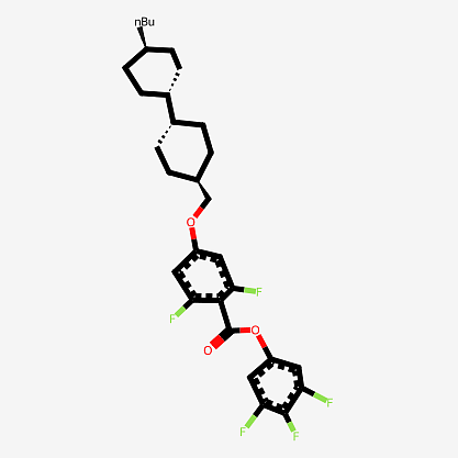 CCCC[C@H]1CC[C@H]([C@H]2CC[C@H](COc3cc(F)c(C(=O)Oc4cc(F)c(F)c(F)c4)c(F)c3)CC2)CC1